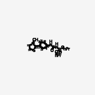 CCCOP(=O)(NC(=O)Nc1ccc(C2SCCN2C)cc1)OCCC